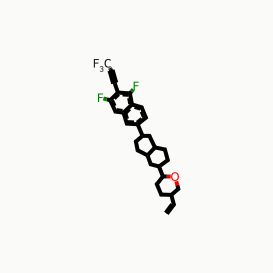 C=CC1CCC(C2CCC3CC(c4ccc5c(F)c(C#CC(F)(F)F)c(F)cc5c4)CCC3C2)OC1